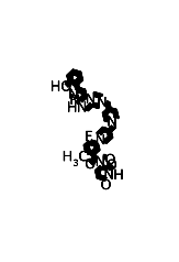 Cc1cc(F)c(N2CCC(CN3CCC(CN4CCN5c6cc(-c7ccccc7O)nnc6NCC5C4)CC3)CC2)cc1C(=O)N(C=O)C1CCC(=O)NC1=O